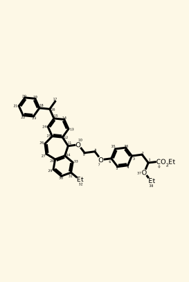 CCOC(=O)C(Cc1ccc(OCCOC2c3ccc(C(C)c4ccccc4)cc3C=Cc3ccc(CC)cc32)cc1)OCC